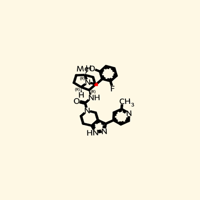 COc1cccc(F)c1CN1[C@H]2CC[C@@H]1[C@H](NC(=O)N1CCc3[nH]nc(-c4ccnc(C)c4)c3C1)CC2